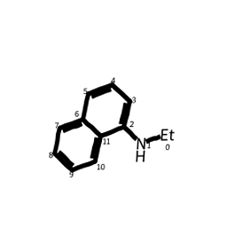 CCNc1cccc2ccccc12